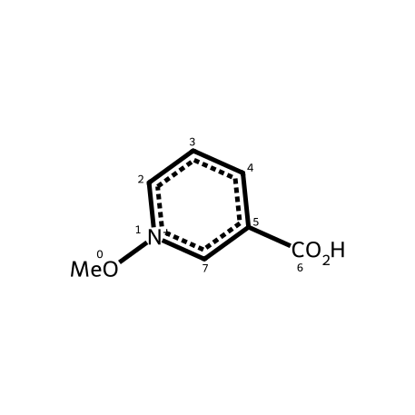 CO[n+]1cccc(C(=O)O)c1